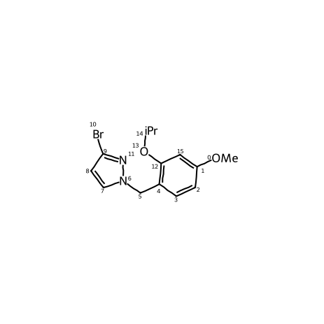 COc1ccc(Cn2ccc(Br)n2)c(OC(C)C)c1